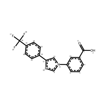 O=C(O)c1cccc(-n2cnc(-c3ccc(C(F)(F)F)cc3)c2)c1